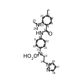 Cc1ccc(C(=O)Nc2ccc(N(CCn3cccn3)C(=O)O)cc2)c(N(C)C)c1